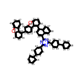 c1ccc(-c2ccc(-c3nc(-c4ccc(-c5ccccc5)cc4)nc(-c4ccc(-c5cccc6oc7cc(-c8cccc9oc%10ccccc%10c89)ccc7c56)c5ccccc45)n3)cc2)cc1